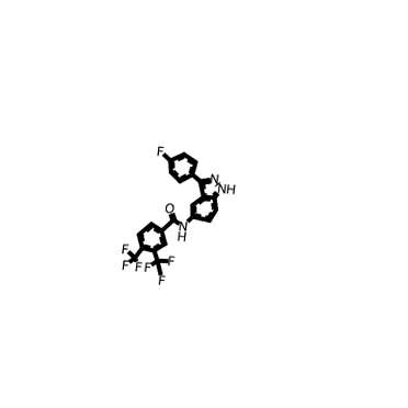 O=C(Nc1ccc2[nH]nc(-c3ccc(F)cc3)c2c1)c1ccc(C(F)(F)F)c(C(F)(F)F)c1